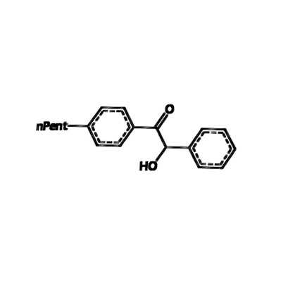 CCCCCc1ccc(C(=O)C(O)c2ccccc2)cc1